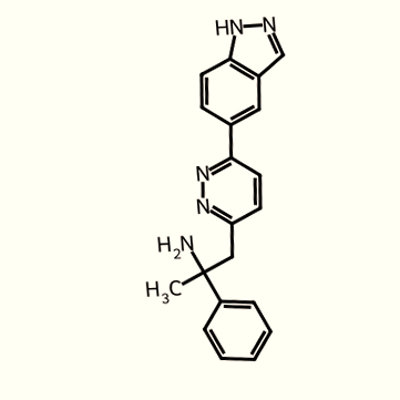 CC(N)(Cc1ccc(-c2ccc3[nH]ncc3c2)nn1)c1ccccc1